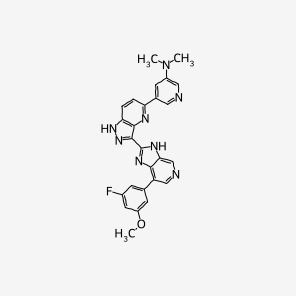 COc1cc(F)cc(-c2cncc3[nH]c(-c4n[nH]c5ccc(-c6cncc(N(C)C)c6)nc45)nc23)c1